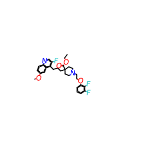 CCOC(=O)C1(CCCc2c(F)cnc3ccc(OC)cc23)CCN(CCOc2cccc(F)c2F)CC1